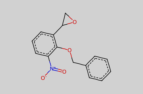 O=[N+]([O-])c1cccc(C2CO2)c1OCc1ccccc1